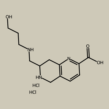 Cl.Cl.O=C(O)c1ccc2c(n1)CC(CNCCCO)NC2